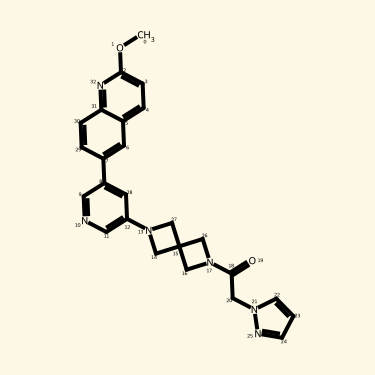 COc1ccc2cc(-c3cncc(N4CC5(CN(C(=O)Cn6cccn6)C5)C4)c3)ccc2n1